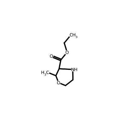 CCOC(=O)C1NCCOC1C